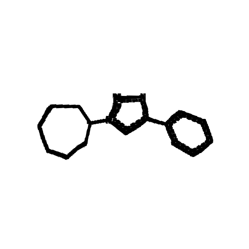 c1ccc(-c2cn([C]3CCCCCC3)nn2)cc1